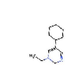 CCN1C=C(C2CCCCC2)C=NC1